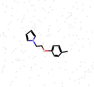 Cc1ccc(OCCn2cccc2)cc1